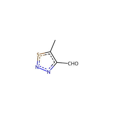 Cc1snnc1C=O